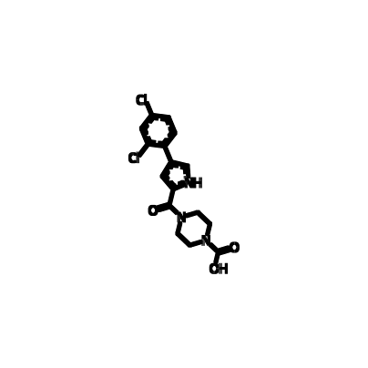 O=C(O)N1CCN(C(=O)c2cc(-c3ccc(Cl)cc3Cl)c[nH]2)CC1